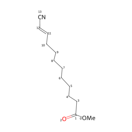 COC(=O)CCCCCCCCC=CC#N